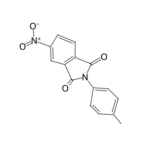 Cc1ccc(N2C(=O)c3ccc([N+](=O)[O-])cc3C2=O)cc1